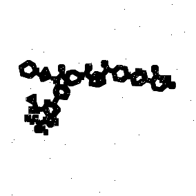 CC(C)n1cnc2cc(-c3ccc4c(c3)N([C@H]3C[C@@H](N5CCCCC5)C3)C(=O)C43CCN(C(=O)C45CC(CN(C(=O)C6CCN(c7ccc(C8CCC(=O)NC8=O)cn7)CC6)C4)C5)CC3)nc(NC3CC3)c21